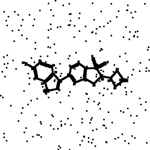 O=S1(=O)c2ccc(-c3c[nH]c4cc(F)ccc34)cc2CN1C1CNC1